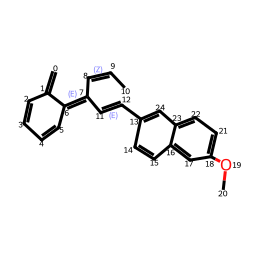 C=c1cccc/c1=C(/C=C\C)\C=C\c1ccc2cc(OC)ccc2c1